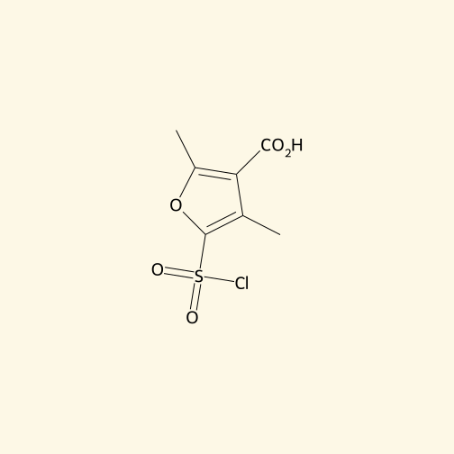 Cc1oc(S(=O)(=O)Cl)c(C)c1C(=O)O